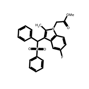 COC(=O)Cn1c(C)c(C(c2ccccc2)S(=O)(=O)c2ccccc2)c2cc(F)ccc21